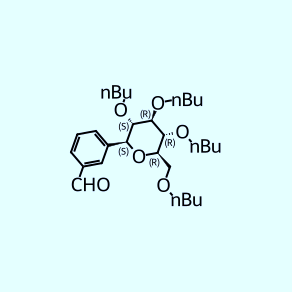 CCCCOC[C@H]1O[C@@H](c2cccc(C=O)c2)[C@H](OCCCC)[C@@H](OCCCC)[C@@H]1OCCCC